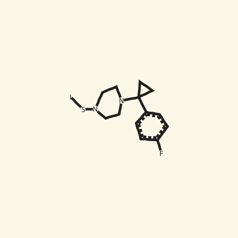 Fc1ccc(C2(N3CCN(SI)CC3)CC2)cc1